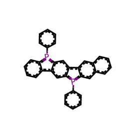 c1ccc(-p2c3ccccc3c3cc4c(cc32)c2cc3ccccc3cc2p4-c2ccccc2)cc1